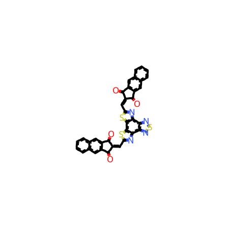 O=C1C(=Cc2nc3c4nsnc4c4nc(C=C5C(=O)c6cc7ccccc7cc6C5=O)sc4c3s2)C(=O)c2cc3ccccc3cc21